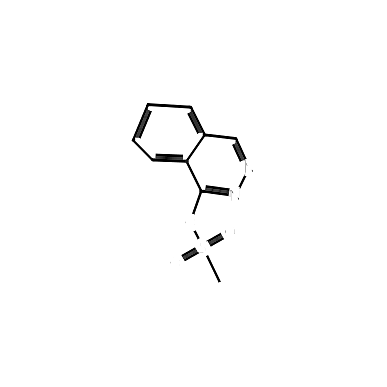 CS(=O)(=O)Oc1nncc2c[c]ccc12